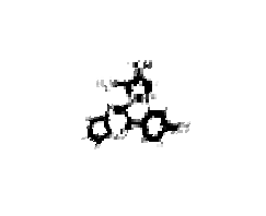 CCc1ccc(C(=S)/C(=N\C2CCCC2)n2ncc(C#N)c2N)cc1